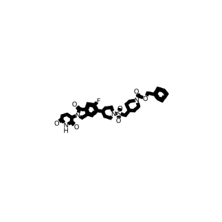 O=C1CCC(N2Cc3cc(C4CCN(S(=O)(=O)CC5CCN(C(=O)OCc6ccccc6)CC5)CC4)c(F)cc3C2=O)C(=O)N1